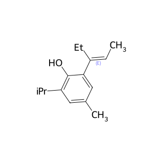 C/C=C(\CC)c1cc(C)cc(C(C)C)c1O